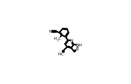 C#Cc1cc(-c2cccc(C#N)c2C)nc2[nH]ncc12